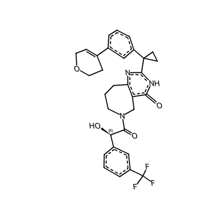 O=C([C@H](O)c1cccc(C(F)(F)F)c1)N1CCCc2nc(C3(c4cccc(C5=CCOCC5)c4)CC3)[nH]c(=O)c2C1